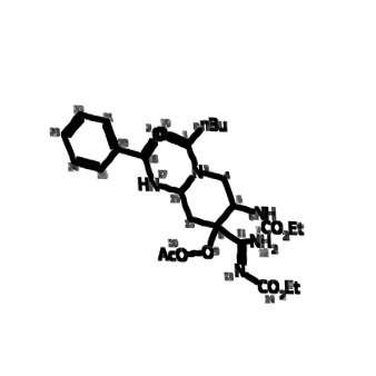 CCCCC(=O)N1CC(NC(=O)OCC)C(OOC(C)=O)(C(N)=NC(=O)OCC)CC1NC(=O)c1ccccc1